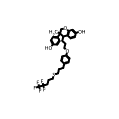 CC1(c2ccc(O)cc2)COc2cc(O)ccc2C1CCCOc1ccc(CCCSCCCC(F)(F)C(F)(F)F)cc1